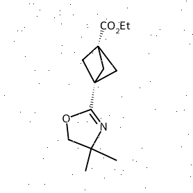 CCOC(=O)[C@]12C[C@](C3=NC(C)(C)CO3)(C1)C2